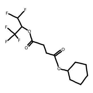 O=C(CCC(=O)OC(C(F)F)C(F)(F)F)OC1CCCCC1